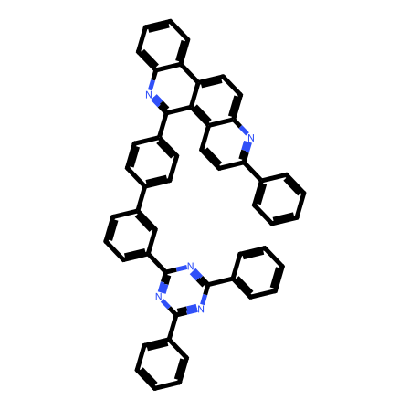 c1ccc(-c2ccc3c(ccc4c5ccccc5nc(-c5ccc(-c6cccc(-c7nc(-c8ccccc8)nc(-c8ccccc8)n7)c6)cc5)c34)n2)cc1